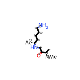 CN[C@@H](C)C(=O)CN[C@@H](CCCCN)C(C)=O